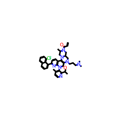 C=CC(=O)N1CC2CN(CCCN(C)C)c3c(c4cc(F)c(-c5cccc6cccc(Cl)c56)nc4n(-c4c(C)ccnc4C(C)C)c3=O)N2CC1C